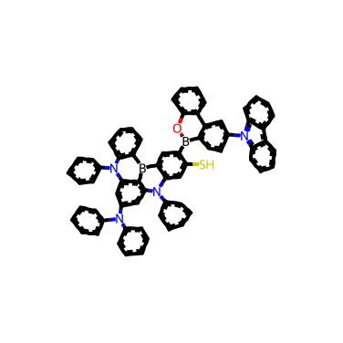 Sc1cc2c(cc1B1Oc3ccccc3-c3cc(-n4c5ccccc5c5ccccc54)ccc31)B1c3ccccc3N(c3ccccc3)c3cc(N(c4ccccc4)c4ccccc4)cc(c31)N2c1ccccc1